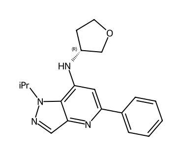 CC(C)n1ncc2nc(-c3ccccc3)cc(N[C@@H]3CCOC3)c21